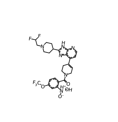 O=C(c1ccc(OC(F)(F)F)cc1[NH+]([O-])O)N1CC=C(c2ccnc3[nH]c(C4CCN(CC(F)F)CC4)nc23)CC1